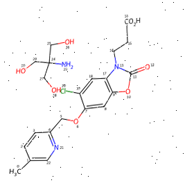 Cc1ccc(COc2cc3oc(=O)n(CCC(=O)O)c3cc2Cl)nc1.NC(CO)(CO)CO